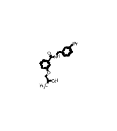 CC(O)COc1cccc(C(=O)NCc2cccc(C(C)C)c2)c1